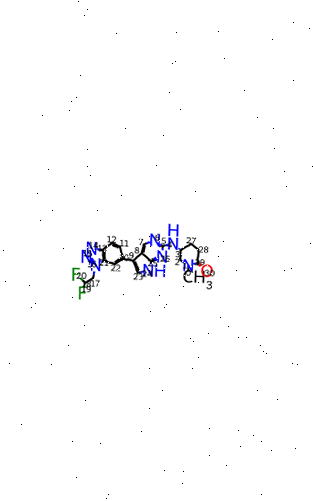 CN1C[C@H](Nc2ncc3c(-c4ccc5nnn(CC(F)F)c5c4)c[nH]c3n2)CCC1=O